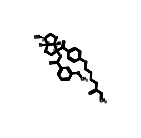 C=CC(=O)CCCCOc1ccc(C(=O)[C@]2(OC(=O)c3cccc(OC)c3)CO[C@@H]3[C@H](O)CO[C@@H]32)cc1